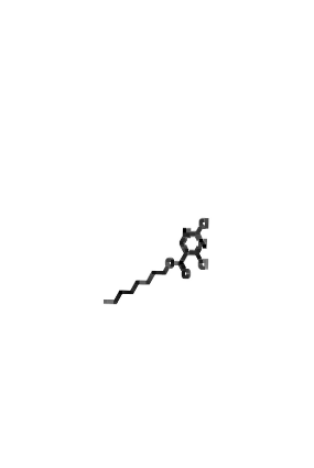 CCCCCCCCOC(=O)c1cnc(Cl)nc1Cl